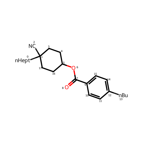 CCCCCCCC1(C#N)CCC(OC(=O)c2ccc(CCCC)cc2)CC1